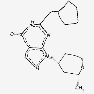 C[C@@H]1C[C@H](n2ncc3c(=O)[nH]c(CC4CCCC4)nc32)CCO1